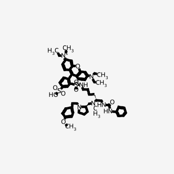 CCN(CC)c1ccc2c(-c3ccc(S(=O)(=O)O)cc3S(=O)(=O)NCCCC[C@H](CNC(=O)Nc3ccccc3)N(C)C[C@H]3CCCN3CCc3ccc(OC)cc3)c3ccc(=[N+](CC)CC)cc-3oc2c1